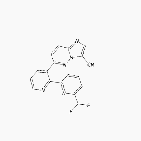 N#Cc1cnc2ccc(-c3cccnc3-c3cccc(C(F)F)n3)nn12